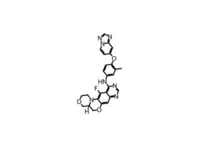 Cc1cc(Nc2ncnc3cc4c(c(F)c23)N2CCOC[C@H]2CO4)ccc1Oc1ccn2ncnc2c1